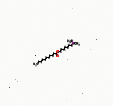 CCCCCCCCCCC(=O)OCCCCCCCP(C)C